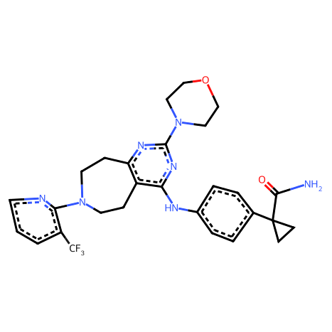 NC(=O)C1(c2ccc(Nc3nc(N4CCOCC4)nc4c3CCN(c3ncccc3C(F)(F)F)CC4)cc2)CC1